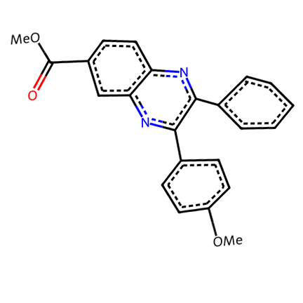 COC(=O)c1ccc2nc(-c3ccccc3)c(-c3ccc(OC)cc3)nc2c1